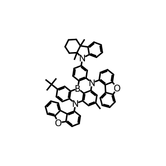 Cc1cc2c3c(c1)N(c1cccc4oc5ccccc5c14)c1cc(N4c5ccccc5C5(C)CCCCC45C)ccc1B3c1cc(C(C)(C)C)ccc1N2c1cccc2oc3ccccc3c12